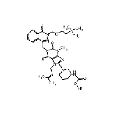 CC(C)=CCn1c(N2CCCC(NC(=O)OC(C)(C)C)C2)nc2c1c(=O)n(Cc1nn(COCC[Si](C)(C)C)c(=O)c3ccccc13)c(=O)n2C